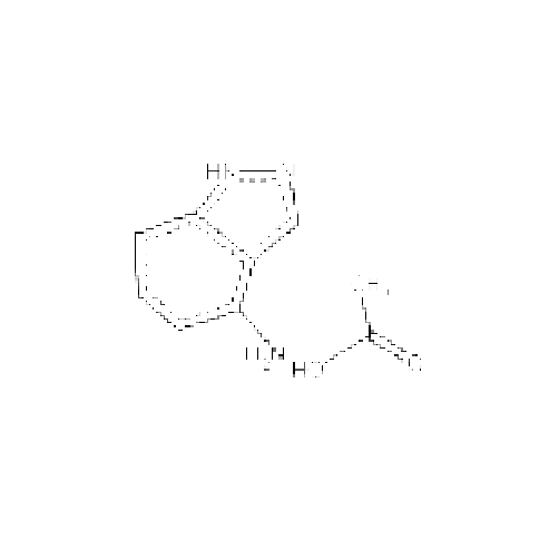 CC(=O)O.Nc1cccc2[nH]ncc12